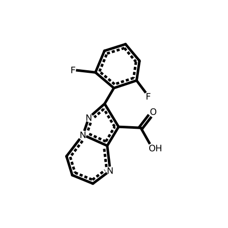 O=C(O)c1c(-c2c(F)cccc2F)nn2cccnc12